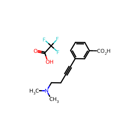 CN(C)CCC#Cc1cccc(C(=O)O)c1.O=C(O)C(F)(F)F